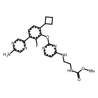 CC(C)(C)OC(=O)NCCNc1ccnc(Oc2c(C3CCC3)ccc(-c3cnc(N)cn3)c2F)n1